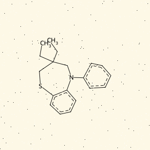 CCC1(CC)CSc2ccccc2N(c2ccccc2)C1